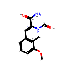 COc1cccc(/C=C(\NC=O)C(N)=O)c1C